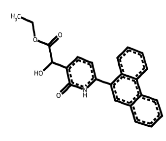 CCOC(=O)C(O)c1ccc(-c2cc3ccccc3c3ccccc23)[nH]c1=O